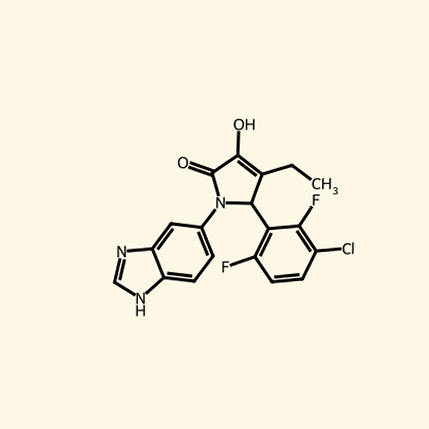 CCC1=C(O)C(=O)N(c2ccc3[nH]cnc3c2)C1c1c(F)ccc(Cl)c1F